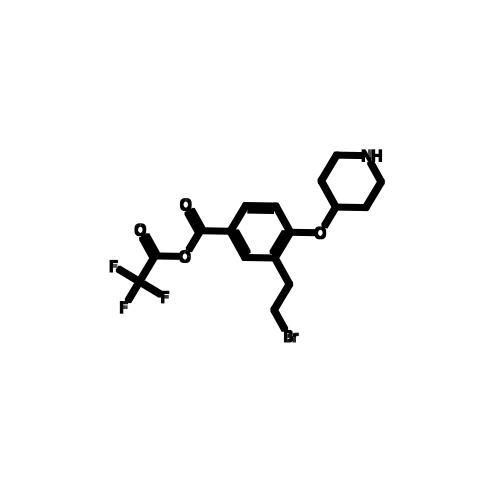 O=C(OC(=O)C(F)(F)F)c1ccc(OC2CCNCC2)c(CCBr)c1